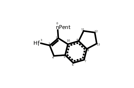 CCCCCC1=[C]([Hf])Cc2ccc3c(c21)CCC3